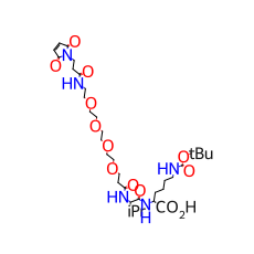 CC(C)C(NC(=O)CCOCCOCCOCCOCCNC(=O)CCN1C(=O)C=CC1=O)C(=O)N[C@@H](CCCCNC(=O)OC(C)(C)C)C(=O)O